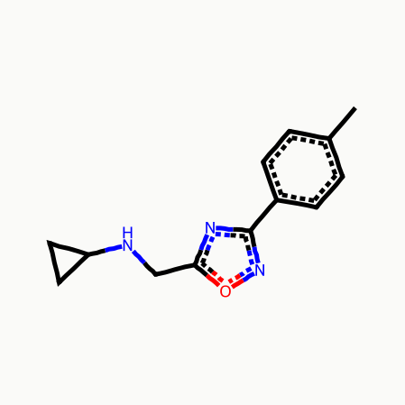 Cc1ccc(-c2noc(CNC3CC3)n2)cc1